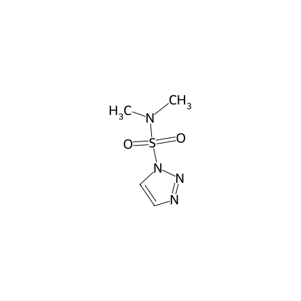 CN(C)S(=O)(=O)n1ccnn1